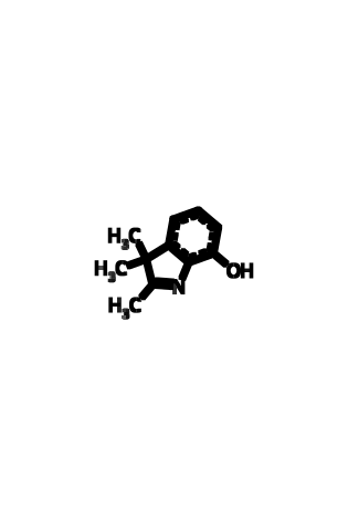 CC1=Nc2c(O)cccc2C1(C)C